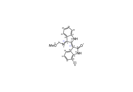 COC/N=C1/C(=C2/C(=O)Nc3c(Cl)cccc32)Nc2ccccc21